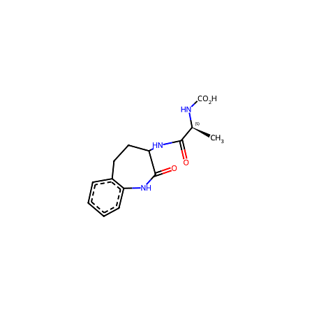 C[C@H](NC(=O)O)C(=O)NC1CCc2ccccc2NC1=O